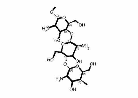 CO[C@@H]1O[C@@H](CO)[C@@H](O[C@@H]2OC(CO)[C@@H](O[C@@H]3O[C@@H](CO)[C@@H](C)C(O)C3N)C(O)[C@@H]2N)C(O)C1N